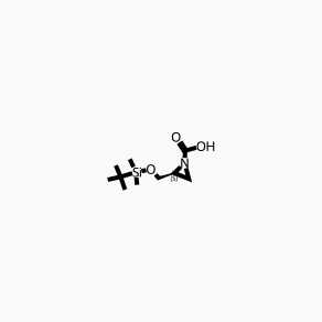 CC(C)(C)[Si](C)(C)OC[C@@H]1CN1C(=O)O